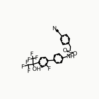 N#Cc1ccc(CS(=O)(=O)Nc2ccc(-c3ccc(C(O)(C(F)(F)F)C(F)(F)F)cc3F)cc2)cc1